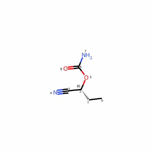 CC[C@H](C#N)OC(N)=O